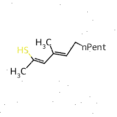 CCCCCC/C=C(C)/C=C(/C)S